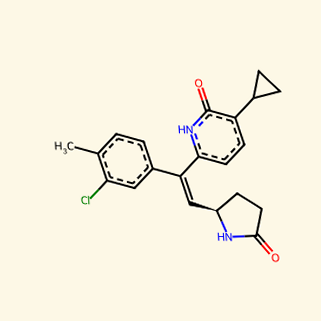 Cc1ccc(C(=C[C@H]2CCC(=O)N2)c2ccc(C3CC3)c(=O)[nH]2)cc1Cl